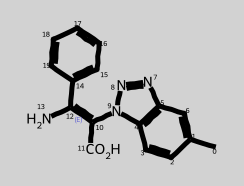 Cc1ccc2c(c1)nnn2/C(C(=O)O)=C(/N)c1ccccc1